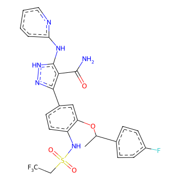 CC(Oc1cc(-c2n[nH]c(Nc3ccccn3)c2C(N)=O)ccc1NS(=O)(=O)CC(F)(F)F)c1ccc(F)cc1